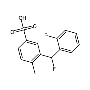 Cc1ccc(S(=O)(=O)O)cc1C(F)c1ccccc1F